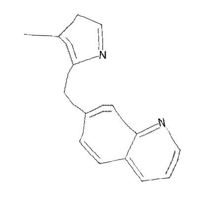 CC1=C(Cc2ccc3cccnc3c2)N=CC1